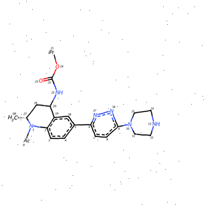 CC(=O)N1c2ccc(-c3ccc(N4CCNCC4)nn3)cc2C(NC(=O)OC(C)C)C[C@H]1C